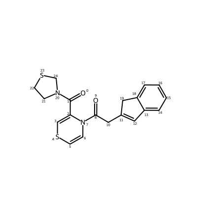 O=C(C1=CSC=CN1C(=O)CC1=Cc2ccccc2C1)N1CCSC1